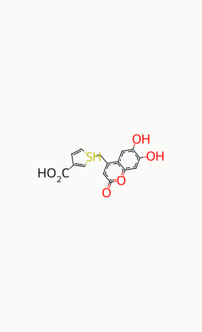 O=C(O)C1=C[SH](Cc2cc(=O)oc3cc(O)c(O)cc23)C=C1